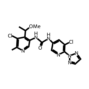 COC(C)c1c(NC(=O)Nc2cnc(-n3nccn3)c(Cl)c2)cnc(C)c1Cl